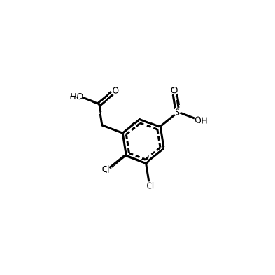 O=C(O)Cc1cc(S(=O)O)cc(Cl)c1Cl